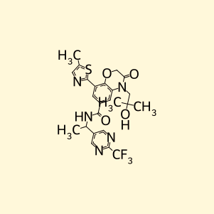 Cc1cnc(-c2cc(C(=O)NC(C)c3cnc(C(F)(F)F)nc3)cc3c2OCC(=O)N3CC(C)(C)O)s1